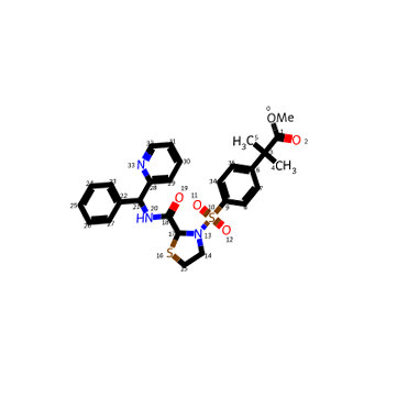 COC(=O)C(C)(C)c1ccc(S(=O)(=O)N2CCSC2C(=O)NC(c2ccccc2)c2ccccn2)cc1